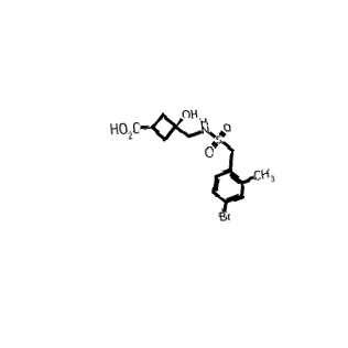 Cc1cc(Br)ccc1CS(=O)(=O)NC[C@]1(O)C[C@@H](C(=O)O)C1